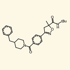 CC(C)(C)NC(=O)C1(C)CC(c2ccc(C(=O)N3CCC(Cc4ccccc4)CC3)cc2)=NO1